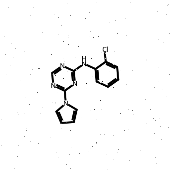 Clc1ccccc1Nc1ncnc(-n2cccc2)n1